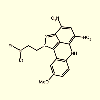 CCN(CC)CCn1nc2c([N+](=O)[O-])cc([N+](=O)[O-])c3c2c1-c1cc(OC)ccc1N3